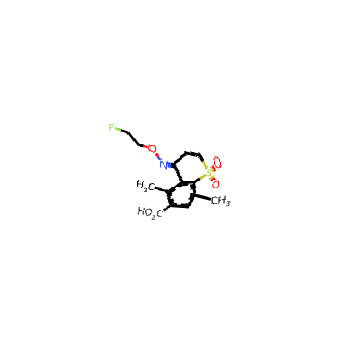 Cc1cc(C(=O)O)c(C)c2c1S(=O)(=O)CCC2=NOCCF